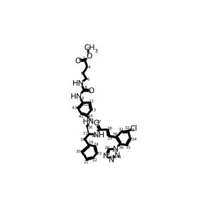 COC(=O)CCCNC(=O)Nc1ccc(NC[C@H](Cc2ccccc2)NC(=O)/C=C/c2cc(Cl)ccc2-n2cnnn2)cc1